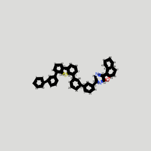 c1ccc(-c2cccc(-c3cccc4c3sc3c(-c5cccc(-c6cccc(-c7cnc8c(n7)oc7ccc9ccccc9c78)c6)c5)cccc34)c2)cc1